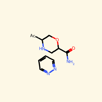 CC(=O)C1COC(C(N)=O)CN1.c1ccnnc1